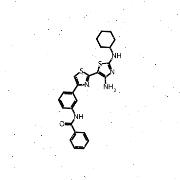 Nc1nc(NC2CCCCC2)sc1-c1nc(-c2cccc(NC(=O)c3ccccc3)c2)cs1